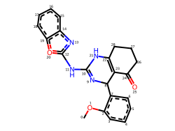 COc1ccccc1C1N=C(Nc2nc3ccccc3o2)NC2=C1C(=O)CCC2